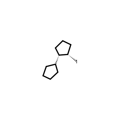 I[C@H]1CCC[C@H]1C1CCCC1